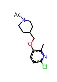 CC(=O)N1CCC(COc2ccc(Cl)nc2C)CC1